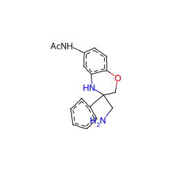 CC(=O)Nc1ccc2c(c1)NC(CN)(c1ccccc1)CO2